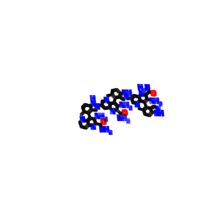 Cc1ccc2[nH]ncc2c1-c1c(N)c(C(N)=O)nc2cc(-[n+]3cc4c(-c5c(N)c(C(N)=O)nc6cc(-[n+]7cc8c(-c9c(N)c(C(N)=O)nc%10cccnc9%10)c(C)ccc8[nH]7)cnc56)c(C)ccc4[nH]3)cnc12